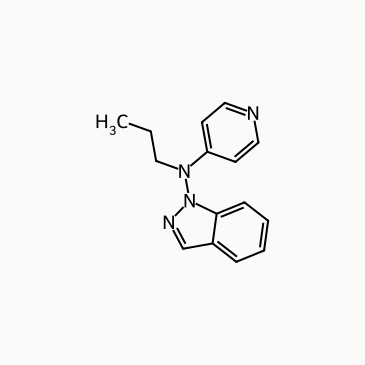 CCCN(c1ccncc1)n1ncc2ccccc21